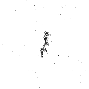 Nc1cc(N2CC3(COC3)C2)cnc1C(=O)NCCOCCNCC(=O)N1CCN(C(=O)c2cc(Cc3n[nH]c(=O)c4ccccc34)ccc2F)CC1